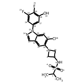 CC(C)S(=O)(=O)NC1CN(c2cc3cnn(-c4cc(O)c(F)c(F)c4)c3cc2Cl)C1